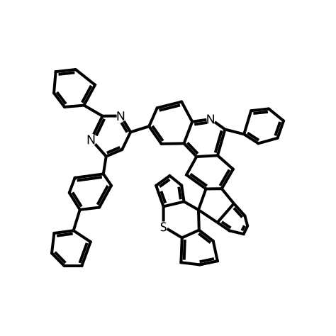 c1ccc(-c2ccc(-c3cc(-c4ccc5nc(-c6ccccc6)c6cc7c(cc6c5c4)C4(c5ccccc5Sc5ccccc54)c4ccccc4-7)nc(-c4ccccc4)n3)cc2)cc1